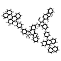 C=CC1=C(c2ccc3c(sc4ccccc43)c2C)c2ccc(-c3ccc(-c4c5ccccc5c(-c5cccc6ccccc56)c5ccccc45)cc3)cc2C1(C)Cc1ccc2c3c(c4c5ccccc5sc4c2c1)C(C)(C)c1ccc(-c2ccc(-c4c5ccccc5c(-c5cccc6ccccc56)c5ccccc45)cc2)cc1-3